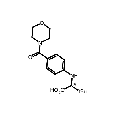 CC(C)(C)[C@H](Nc1ccc(C(=O)N2CCOCC2)cc1)C(=O)O